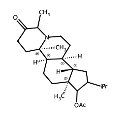 CC(=O)OC1C(C(C)C)C[C@H]2[C@@H]3CCN4C(C)C(=O)CC[C@]4(C)[C@@H]3CC[C@]12C